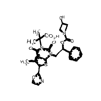 Cc1c(-c2ncco2)sc2c1c(=O)n(C(C)(C)C(=O)O)c(=O)n2C[C@@H](OC(=O)N1CC(O)C1)c1ccccc1